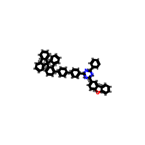 c1ccc(-c2nc(-c3ccc(-c4ccc(-c5cccc6c5-c5ccccc5C65c6ccccc6-c6ccccc65)cc4)cc3)nc(-c3ccc4oc5ccccc5c4c3)n2)cc1